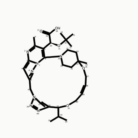 Cc1nc2cc3nn2c(c1[C@H](OC(C)(C)C)C(=O)O)N1CCC(C)(CC1)OCC=CCOC(C(C)C)c1cn(nn1)C3